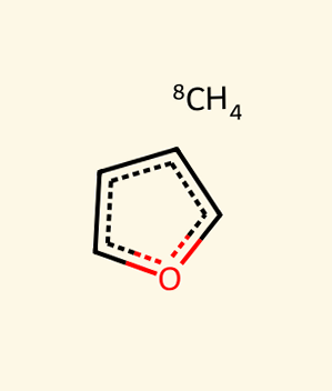 [8CH4].c1ccoc1